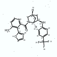 Cc1ccnc(C(=O)N2C[C@@H]3C[C@@H](Nc4ccc(C(F)(F)F)cn4)[C@@H]2C3)c1-c1ncco1